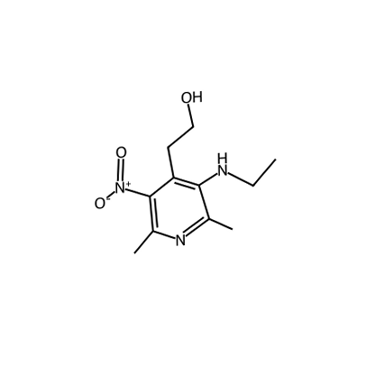 CCNc1c(C)nc(C)c([N+](=O)[O-])c1CCO